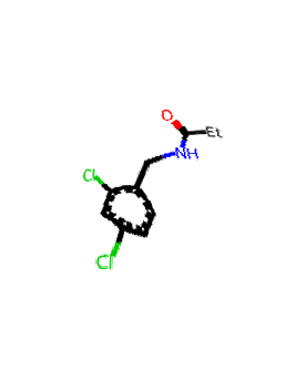 CCC(=O)NCc1ccc(Cl)cc1Cl